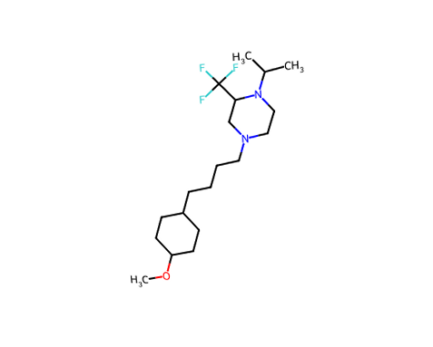 COC1CCC(CCCCN2CCN(C(C)C)C(C(F)(F)F)C2)CC1